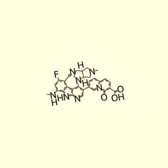 CNc1cc(F)c(C#N)c2c1[nH]c1ncc(-c3ccc4ccc(C(=O)O)c(=O)n4c3)c(N3CC[C@H]4CN(C)C[C@H]43)c12